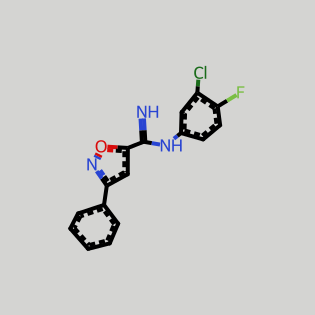 N=C(Nc1ccc(F)c(Cl)c1)c1cc(-c2ccccc2)no1